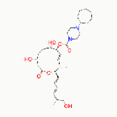 C/C(=C\C=C\[C@@H](C)CO)[C@H]1OC(=O)C[C@H](O)CC[C@@](C)(O)[C@@H](OC(=O)N2CCN(C3CCCCCC3)CC2)/C=C/[C@@H]1C